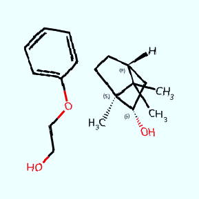 CC1(C)[C@@H]2CC[C@]1(C)[C@@H](O)C2.OCCOc1ccccc1